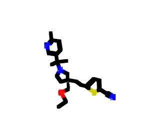 CCOC[C@]1(CCc2ccc(C#N)s2)CCN(C(C)(C)c2ccc(C)nc2)C1